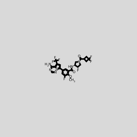 COc1c(F)cc(-c2cc(C(F)(F)F)c3c(N)ncnn23)cc1C(=O)N[C@@H]1CN(C(=O)C2CC(F)(F)C2)C[C@@H]1F